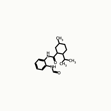 CC1CCC(C(C)C)C(C(=O)Nc2ccccc2NC=O)C1